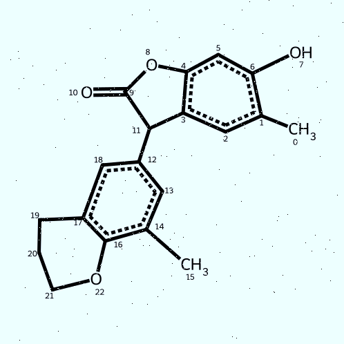 Cc1cc2c(cc1O)OC(=O)C2c1cc(C)c2c(c1)CCCO2